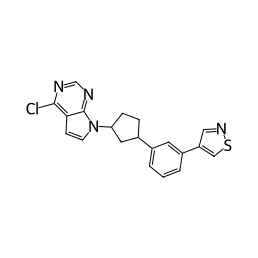 Clc1ncnc2c1ccn2C1CCC(c2cccc(-c3cnsc3)c2)C1